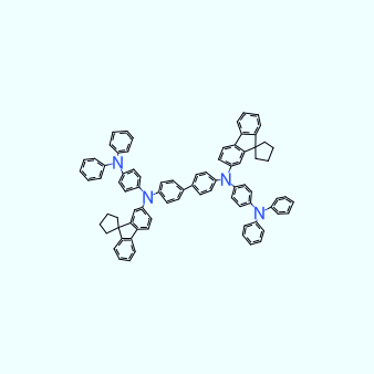 c1ccc(N(c2ccccc2)c2ccc(N(c3ccc(-c4ccc(N(c5ccc(N(c6ccccc6)c6ccccc6)cc5)c5ccc6c(c5)C5(CCCC5)c5ccccc5-6)cc4)cc3)c3ccc4c(c3)C3(CCCC3)c3ccccc3-4)cc2)cc1